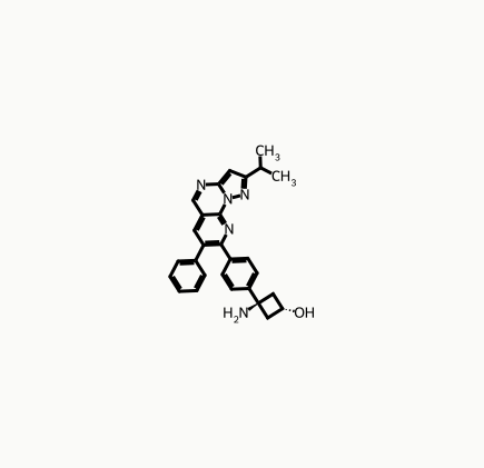 CC(C)c1cc2ncc3cc(-c4ccccc4)c(-c4ccc([C@]5(N)C[C@H](O)C5)cc4)nc3n2n1